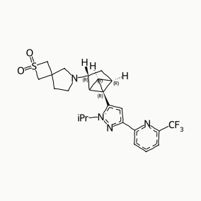 CC(C)n1nc(-c2cccc(C(F)(F)F)n2)cc1[C@]12C3[C@H](N4CCC5(C4)CS(=O)(=O)C5)C[C@@H]1[C@H]32